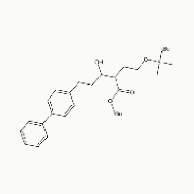 CC(C)(C)OC(=O)C(CCO[Si](C)(C)C(C)(C)C)C(O)CCc1ccc(-c2ccccc2)cc1